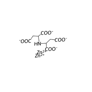 O=C([O-])CC(NC(CC(=O)[O-])C(=O)[O-])C(=O)[O-].[Zn+2].[Zn+2]